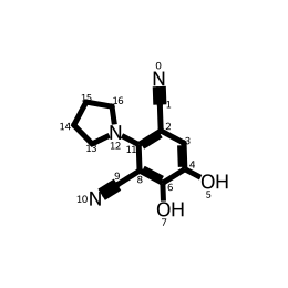 N#Cc1cc(O)c(O)c(C#N)c1N1CCCC1